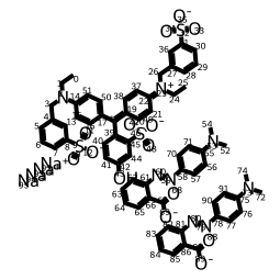 CCN(Cc1cccc(S(=O)(=O)[O-])c1)c1ccc(C(=C2C=CC(=[N+](CC)Cc3cccc(S(=O)(=O)[O-])c3)C=C2)c2ccc(O)cc2S(=O)(=O)[O-])cc1.CN(C)c1ccc(N=Nc2ccccc2C(=O)[O-])cc1.CN(C)c1ccc(N=Nc2ccccc2C(=O)[O-])cc1.[Na+].[Na+].[Na+].[Na+]